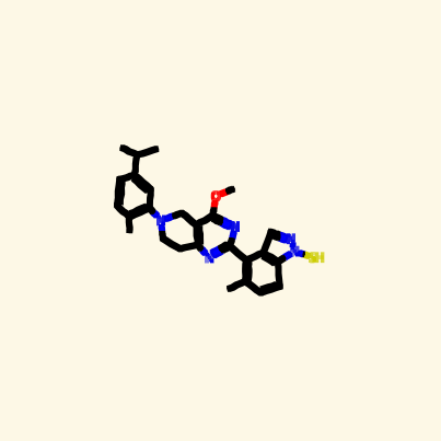 COc1nc(-c2c(C)ccc3c2cnn3S)nc2c1CN(c1cc(C(C)C)ccc1C)CC2